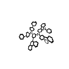 c1ccc(-c2ccc(N(c3ccc(-c4ccccc4)cc3)c3cc(-c4cc5ccccc5c5ccccc45)cc(N(c4ccc5oc6ccccc6c5c4)c4ccc5c6ccccc6n(-c6ccccc6)c5c4)c3)cc2)cc1